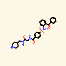 O=C(CNC(=O)c1ccc(S(=O)(=O)Nc2ccccc2C(=O)c2ccccc2)cc1)NCC1CCNCC1